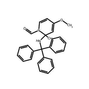 COC1=CC(C)(NC(c2ccccc2)(c2ccccc2)c2ccccc2)N(C=O)C=C1